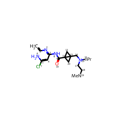 C=C/N=C(\C=C(/N)Cl)NC(=O)C12CC1(CN(CCC)CCNC)C2